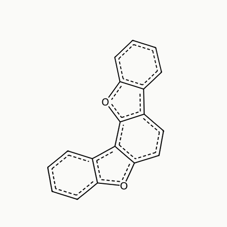 c1ccc2c(c1)oc1c2ccc2oc3ccccc3c21